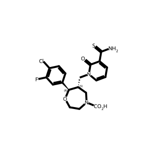 NC(=S)c1cccn(C[C@@H]2CN(C(=O)O)CCO[C@H]2c2ccc(Cl)c(F)c2)c1=O